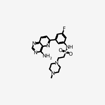 CN1CCN(CCS(=O)(=O)Nc2cc(F)cc(-c3ccc4ncnc(N)c4n3)c2)CC1